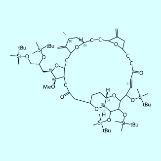 C=C1CC2CCC(=O)/C=C/C(O[Si](C)(C)C(C)(C)C)C3O[C@H]4CCC(CC(=O)CC5C(CC6O[C@@H](CCC1O2)C[C@@H](C)C6=C)O[C@H](CC(CO[Si](C)(C)C(C)(C)C)O[Si](C)(C)C(C)(C)C)[C@@H]5OC)O[C@@H]4C(O[Si](C)(C)C(C)(C)C)C3O[Si](C)(C)C(C)(C)C